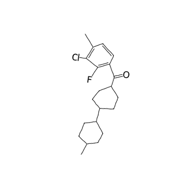 Cc1ccc(C(=O)C2CCC(C3CCC(C)CC3)CC2)c(F)c1Cl